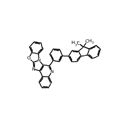 CC1(C)c2ccccc2-c2ccc(-c3cccc(-c4nc5ccccc5c5nc6oc7ccccc7n6c45)c3)cc21